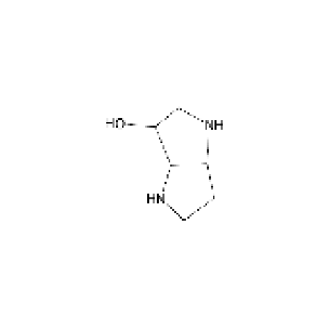 OC1CNC2CCNC12